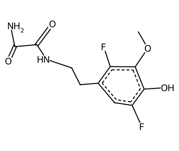 COc1c(O)c(F)cc(CCNC(=O)C(N)=O)c1F